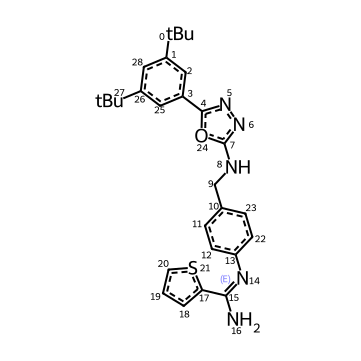 CC(C)(C)c1cc(-c2nnc(NCc3ccc(/N=C(/N)c4cccs4)cc3)o2)cc(C(C)(C)C)c1